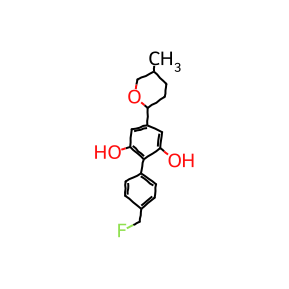 CC1CCC(c2cc(O)c(-c3ccc(CF)cc3)c(O)c2)OC1